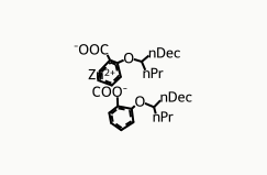 CCCCCCCCCCC(CCC)Oc1ccccc1C(=O)[O-].CCCCCCCCCCC(CCC)Oc1ccccc1C(=O)[O-].[Zn+2]